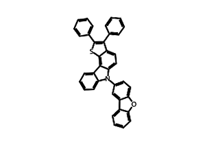 c1ccc(-c2sc3c(ccc4c3c3ccccc3n4-c3ccc4oc5ccccc5c4c3)c2-c2ccccc2)cc1